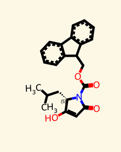 CC(C)C[C@H]1C(O)=CC(=O)N1C(=O)OCC1c2ccccc2-c2ccccc21